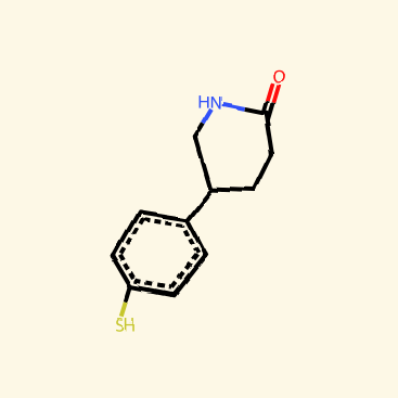 O=C1CCC(c2ccc(S)cc2)CN1